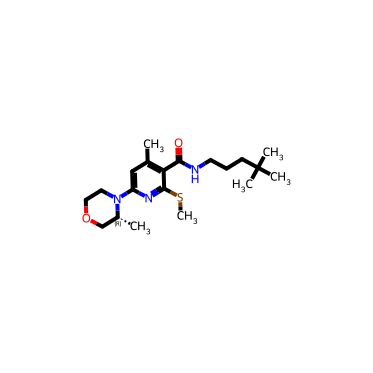 CSc1nc(N2CCOC[C@H]2C)cc(C)c1C(=O)NCCCC(C)(C)C